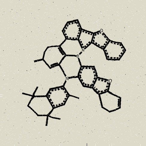 Cc1cc2c(cc1N1C3=CC(C)CC4=C3B(c3cc5oc6c(c5cc31)CCC=C6)n1c3c4cccc3c3oc4ccccc4c31)C(C)(C)CCC2(C)C